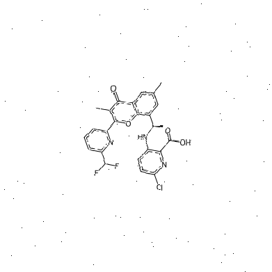 Cc1cc([C@@H](C)Nc2ccc(Cl)nc2C(=O)O)c2oc(-c3cccc(C(F)F)n3)c(C)c(=O)c2c1